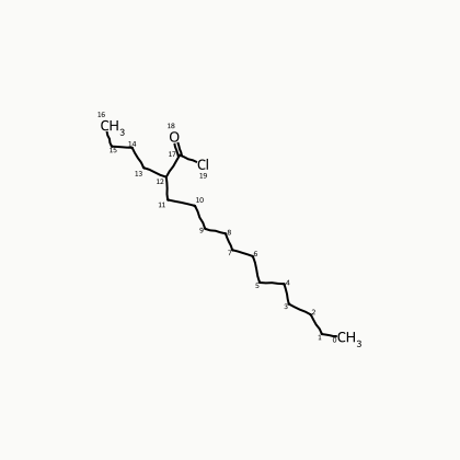 CCCCCCCCCCCCC(CCCC)C(=O)Cl